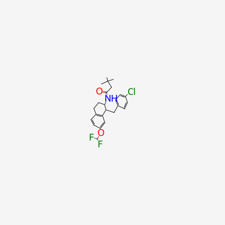 CC(C)(C)CC(=O)NC1CCc2ccc(OC(F)F)cc2C1Cc1ccc(Cl)cc1